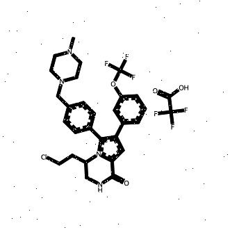 CN1CCN(Cc2ccc(-c3c(-c4cccc(OC(F)(F)F)c4)cc4n3C(CCCl)CNC4=O)cc2)CC1.O=C(O)C(F)(F)F